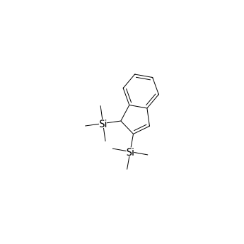 C[Si](C)(C)C1=Cc2ccccc2C1[Si](C)(C)C